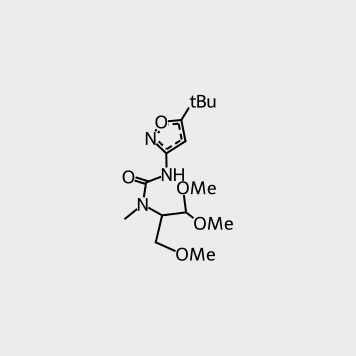 COCC(C(OC)OC)N(C)C(=O)Nc1cc(C(C)(C)C)on1